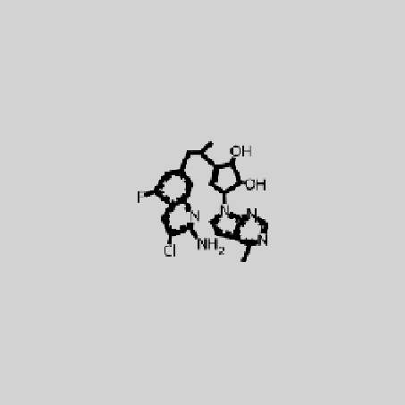 Cc1ncnc2c1ccn2C1C=C(C(C)Cc2cc(F)c3cc(Cl)c(N)nc3c2)C(O)[C@@H]1O